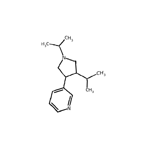 CC(C)C1CN(C(C)C)CC1c1cccnc1